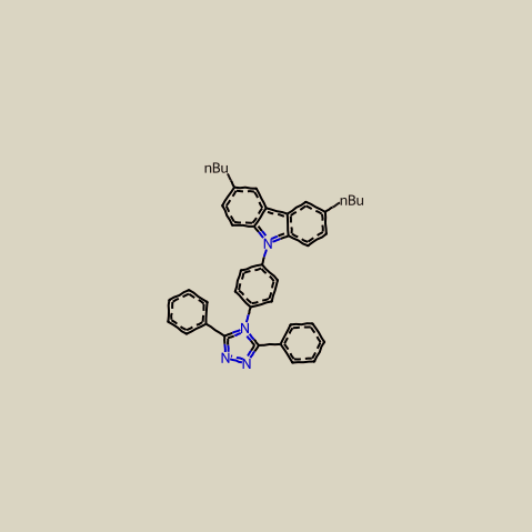 CCCCc1ccc2c(c1)c1cc(CCCC)ccc1n2-c1ccc(-n2c(-c3ccccc3)nnc2-c2ccccc2)cc1